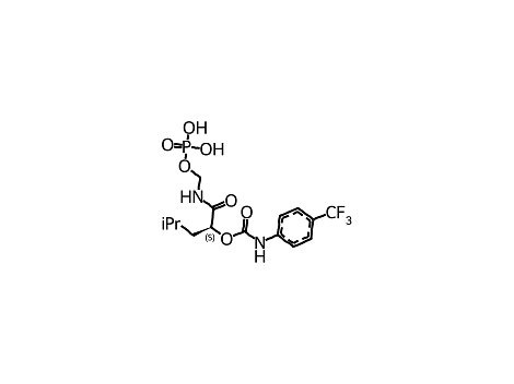 CC(C)C[C@H](OC(=O)Nc1ccc(C(F)(F)F)cc1)C(=O)NCOP(=O)(O)O